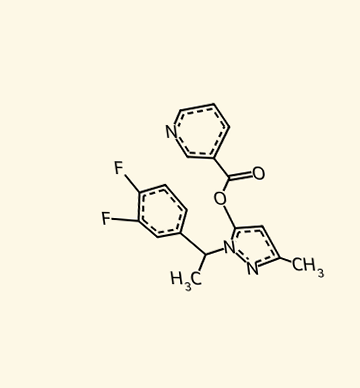 Cc1cc(OC(=O)c2cccnc2)n(C(C)c2ccc(F)c(F)c2)n1